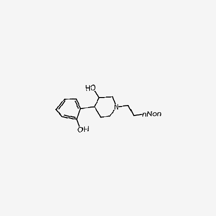 CCCCCCCCCCCN1CCC(c2ccccc2O)C(O)C1